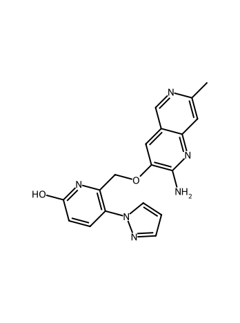 Cc1cc2nc(N)c(OCc3nc(O)ccc3-n3cccn3)cc2cn1